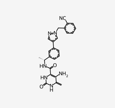 C=C1NC(=O)NC(C(=O)N[C@H](C)c2cccc(-c3cnn(Cc4ccccc4C#N)c3)c2)=C1N